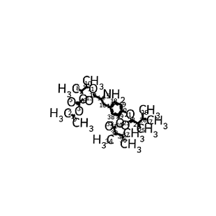 CC(C)OC(=O)OC(C)[C@H](C)OC(=O)[C@@H](N)Cc1ccc(OC(=O)C(C)C(C)C)c(OC(=O)C(C)C(C)C)c1